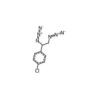 [N-]=[N+]=NCC(N=[N+]=[N-])c1ccc(Cl)cc1